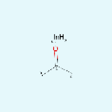 CC(C)=O.[InH3]